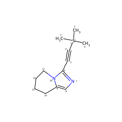 C[Si](C)(C)C#Cc1ncc2n1CCCC2